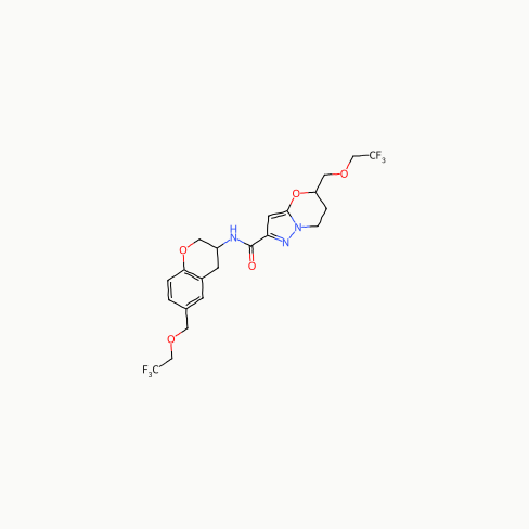 O=C(NC1COc2ccc(COCC(F)(F)F)cc2C1)c1cc2n(n1)CCC(COCC(F)(F)F)O2